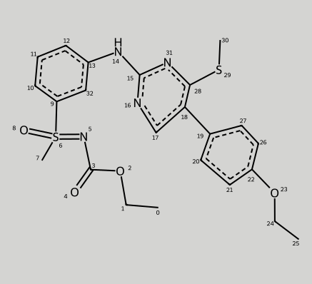 CCOC(=O)N=S(C)(=O)c1cccc(Nc2ncc(-c3ccc(OCC)cc3)c(SC)n2)c1